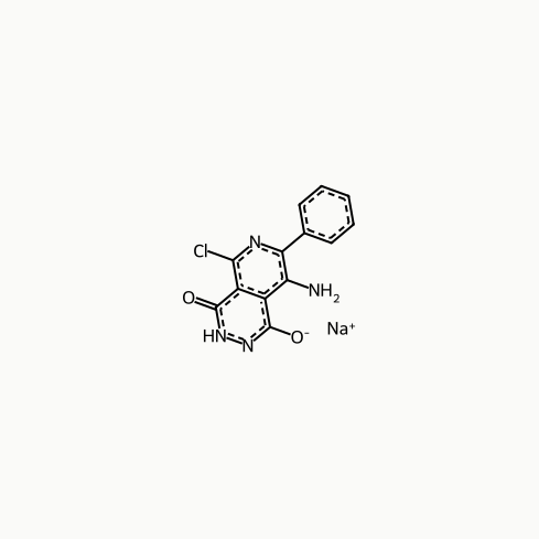 Nc1c(-c2ccccc2)nc(Cl)c2c(=O)[nH]nc([O-])c12.[Na+]